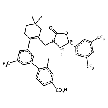 Cc1cc(C(=O)O)ccc1-c1cc(C2=C(CN3C(=O)O[C@H](c4cc(C(F)(F)F)cc(C(F)(F)F)c4)[C@@H]3C)CC(C)(C)CC2)cc(C(F)(F)F)c1